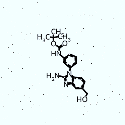 CC(C)(C)OC(=O)Nc1cccc(-n2c(N)nc3cc(CO)ccc32)c1